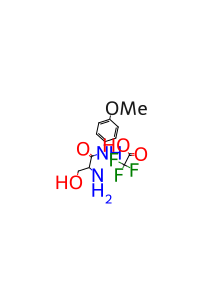 COc1ccc(NC(=O)C(N)CO)cc1.O=C(O)C(F)(F)F